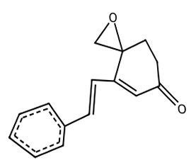 O=C1C=C(C=Cc2ccccc2)C2(CC1)CO2